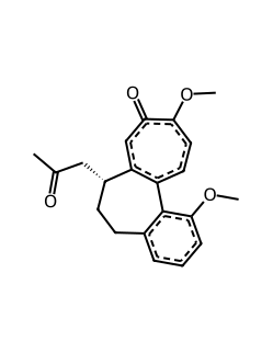 COc1cccc2c1-c1ccc(OC)c(=O)cc1[C@@H](CC(C)=O)CC2